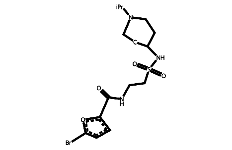 CC(C)N1CCC(NS(=O)(=O)CCNC(=O)c2ccc(Br)o2)CC1